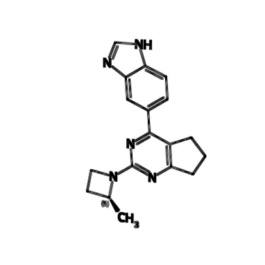 C[C@H]1CCN1c1nc2c(c(-c3ccc4[nH]cnc4c3)n1)CCC2